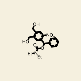 CCN(CC)C(=O)OC(c1ccccc1)c1cc(CO)c(CO)cc1[N+](=O)[O-]